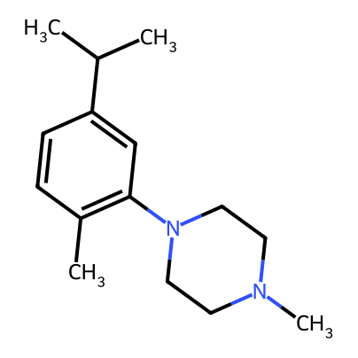 Cc1ccc(C(C)C)cc1N1CCN(C)CC1